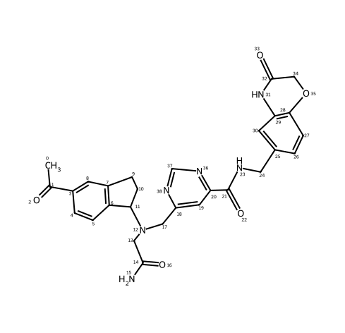 CC(=O)c1ccc2c(c1)CCC2N(CC(N)=O)Cc1cc(C(=O)NCc2ccc3c(c2)NC(=O)CO3)ncn1